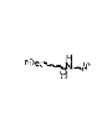 CCCCCCCCCCCCCCCC(=O)NCCC[N+](C)(C)C.[Cl-]